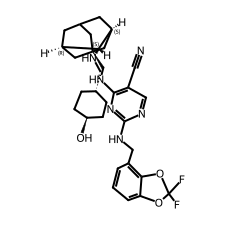 N#Cc1cnc(NCc2cccc3c2OC(F)(F)O3)nc1NC[C@]12CC3C[C@H](C1)[C@@H](NC[C@H]1CC[C@H](O)CC1)[C@@H](C3)C2